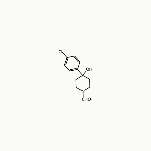 O=[C]N1CCC(O)(c2ccc(Cl)cc2)CC1